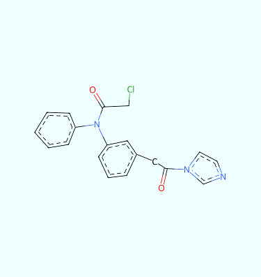 O=C(CCl)N(c1ccccc1)c1cccc(CC(=O)n2ccnc2)c1